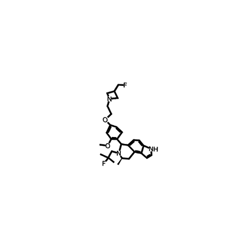 COc1cc(OCCN2CC(CF)C2)ccc1C1c2ccc3[nH]ccc3c2C[C@@H](C)N1CC(C)(C)F